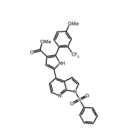 COC(=O)c1cc(-c2ccnc3c2ccn3S(=O)(=O)c2ccccc2)[nH]c1-c1ccc(OC)cc1C(F)(F)F